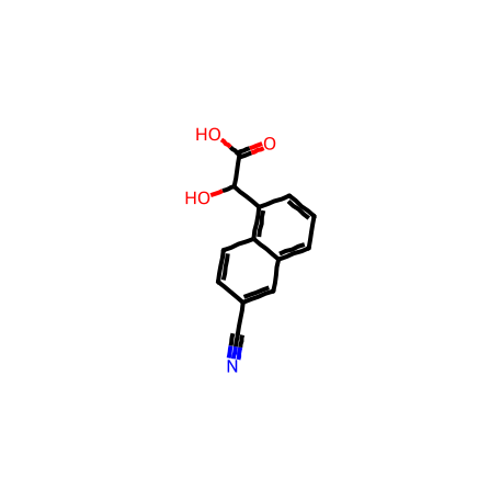 N#Cc1ccc2c(C(O)C(=O)O)cccc2c1